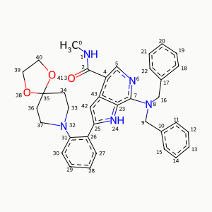 CNC(=O)c1cnc(N(Cc2ccccc2)Cc2ccccc2)c2[nH]c(-c3ccccc3N3CCC4(CC3)OCCO4)cc12